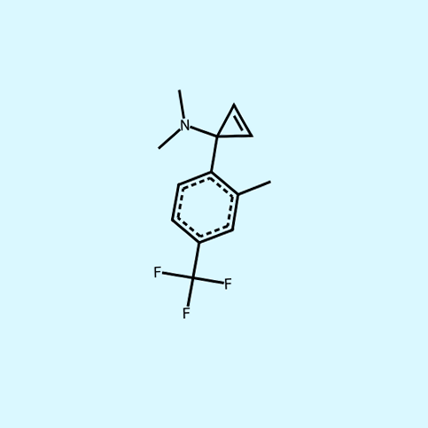 Cc1cc(C(F)(F)F)ccc1C1(N(C)C)C=C1